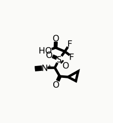 C#[N+]C(C(=O)C1CC1)S(=O)(=O)C(F)(F)C(=O)O